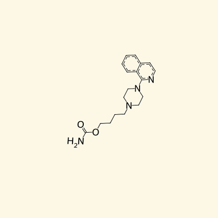 NC(=O)OCCCCN1CCN(c2nccc3ccccc23)CC1